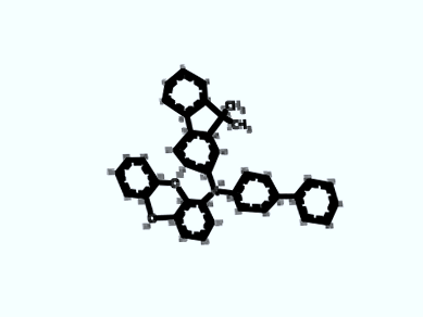 CC1(C)c2ccccc2-c2ccc(N(c3ccc(-c4ccccc4)cc3)c3cccc4c3Oc3ccccc3O4)cc21